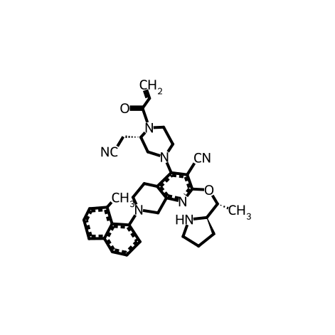 C=CC(=O)N1CCN(c2c(C#N)c(O[C@H](C)[C@H]3CCCN3)nc3c2CCN(c2cccc4cccc(C)c24)C3)C[C@@H]1CC#N